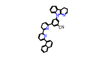 N#Cc1cc(C2=CCCC(c3cccc(-c4cccc5ccccc45)n3)=N2)cc(-n2c3c(c4ccccc42)CCC=N3)c1